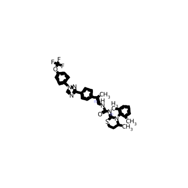 C/C(=C\NC(=O)/N=C1\SCCC(C)N1c1c(C)cccc1C)c1ccc(-c2ncn(-c3ccc(OC(F)(F)F)cc3)n2)cc1